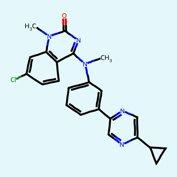 CN(c1cccc(-c2cnc(C3CC3)cn2)c1)c1nc(=O)n(C)c2cc(Cl)ccc12